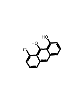 Oc1cccc2cc3cccc(Cl)c3c(O)c12